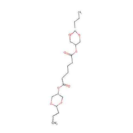 CCCC1OCC(OC(=O)CCCCC(=O)OC2COC(CCC)OC2)CO1